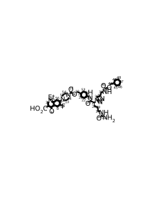 CCn1cc(C(=O)O)c(=O)c2cc(F)c(N3CCN(C(=O)OCc4ccc(NC(=O)[C@H](CCCNC(N)=O)n5cc(CNC(=O)OCc6ccccc6)nn5)cc4)CC3)cc21